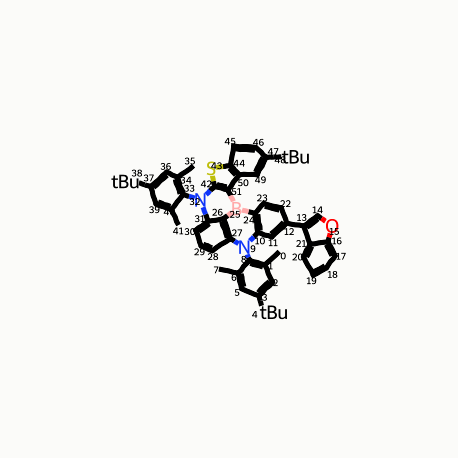 Cc1cc(C(C)(C)C)cc(C)c1N1c2cc(-c3coc4ccccc34)ccc2B2c3c1cccc3N(c1c(C)cc(C(C)(C)C)cc1C)c1sc3ccc(C(C)(C)C)cc3c12